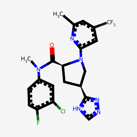 Cc1cc(C(F)(F)F)cc(N2C[C@@H](c3nnc[nH]3)C[C@H]2C(=O)N(C)c2ccc(F)c(Cl)c2)n1